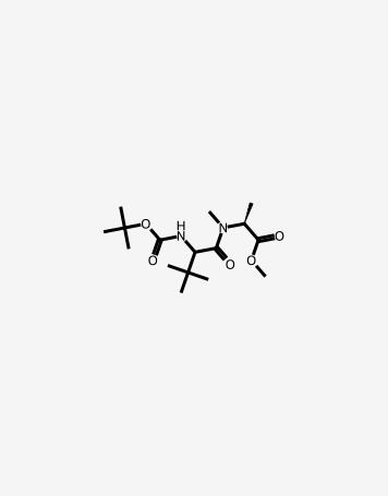 COC(=O)[C@H](C)N(C)C(=O)C(NC(=O)OC(C)(C)C)C(C)(C)C